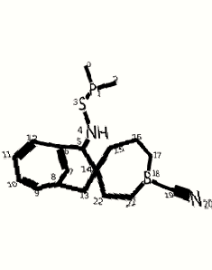 CP(C)SNC1C2=CC(C=CC=C2)CC12CCCB(C#N)CC2